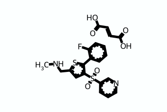 CNCc1cc(S(=O)(=O)c2cccnc2)c(-c2ccccc2F)s1.O=C(O)/C=C/C(=O)O